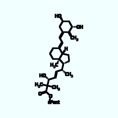 C=C1/C(=C\C=C2/CCC[C@]3(C)[C@@H]([C@H](C)/C=C/[C@@H](O)C(C)(C)C(=O)OCCCCC)CC[C@@H]23)C[C@@H](O)C[C@@H]1O